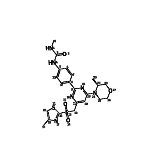 CNC(=O)Nc1ccc(-c2nc(CS(=O)(=O)c3nc(C)cs3)cc(N3CCOC[C@@H]3C)n2)cc1